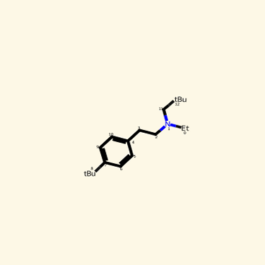 CCN(CCc1ccc(C(C)(C)C)cc1)CC(C)(C)C